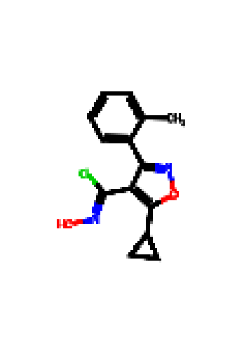 Cc1ccccc1-c1noc(C2CC2)c1C(Cl)=NO